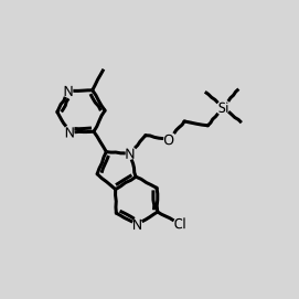 Cc1cc(-c2cc3cnc(Cl)cc3n2COCC[Si](C)(C)C)ncn1